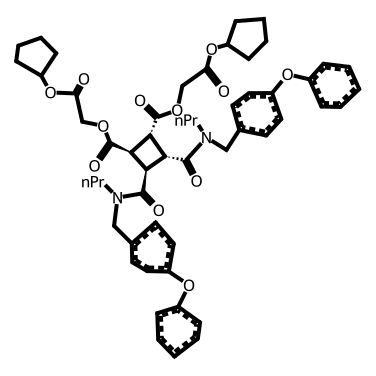 CCCN(Cc1ccc(Oc2ccccc2)cc1)C(=O)[C@H]1[C@@H](C(=O)OCC(=O)OC2CCCC2)[C@H](C(=O)OCC(=O)OC2CCCC2)[C@@H]1C(=O)N(CCC)Cc1ccc(Oc2ccccc2)cc1